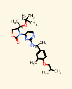 Cc1cc([C@H](C)Nc2nccc(N3C(=O)OCC3[C@@H](C)OC(C)(C)C)n2)ccc1OCC(C)C